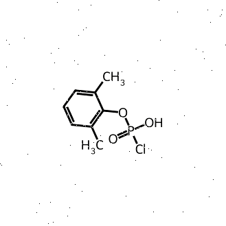 Cc1cccc(C)c1OP(=O)(O)Cl